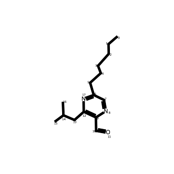 CCCCCCc1cnc([C]=O)c(CC(C)C)n1